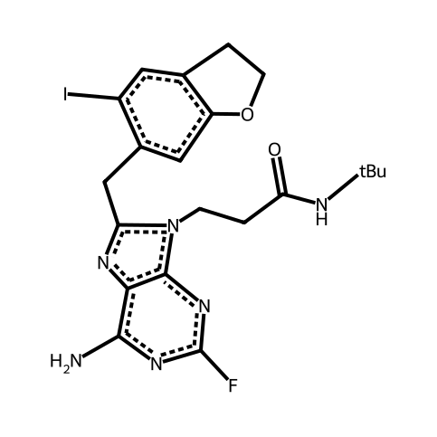 CC(C)(C)NC(=O)CCn1c(Cc2cc3c(cc2I)CCO3)nc2c(N)nc(F)nc21